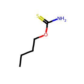 CCCCOC(N)=S